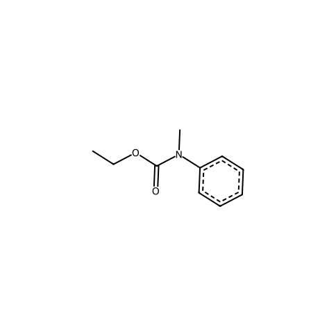 CCOC(=O)N(C)c1ccccc1